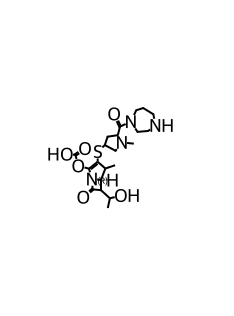 CC(O)C1C(=O)N2C(OC(=O)O)=C(SC3CC(C(=O)N4CCCNCC4)N(C)C3)C(C)[C@@H]12